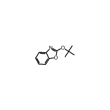 CC(C)(C)Oc1nc2ccccc2o1